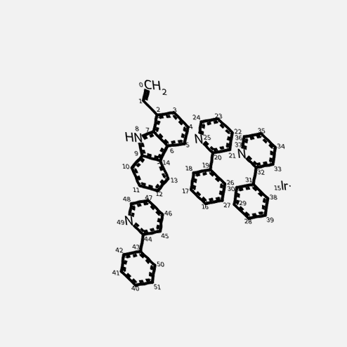 C=Cc1cccc2c1[nH]c1ccccc12.[Ir].c1ccc(-c2ccccn2)cc1.c1ccc(-c2ccccn2)cc1.c1ccc(-c2ccccn2)cc1